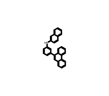 c1cc(Nc2ccc3ccccc3c2)cc(-c2cc3ccccc3c3ccccc23)c1